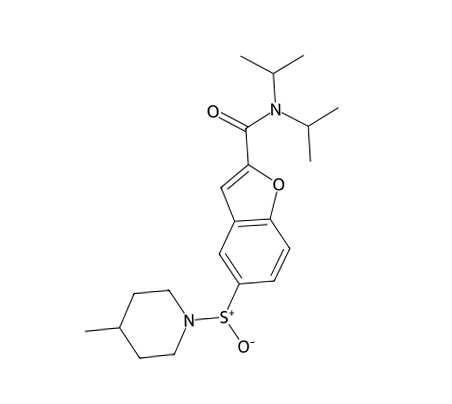 CC1CCN([S+]([O-])c2ccc3oc(C(=O)N(C(C)C)C(C)C)cc3c2)CC1